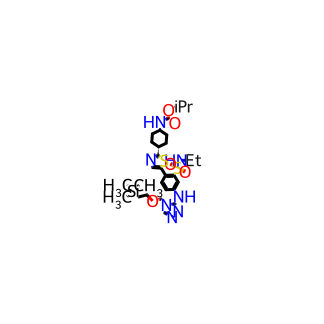 CCNS(=O)(=O)c1cc(Nc2nncn2COCC[Si](C)(C)C)ccc1-c1cnc([C@H]2CC[C@H](NC(=O)OC(C)C)CC2)s1